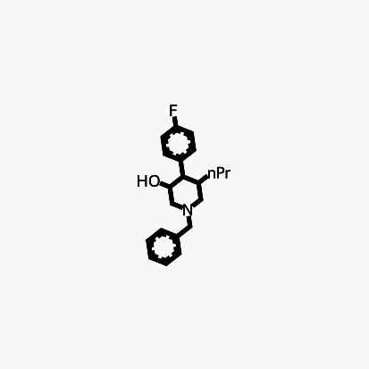 CCCC1CN(Cc2ccccc2)CC(O)C1c1ccc(F)cc1